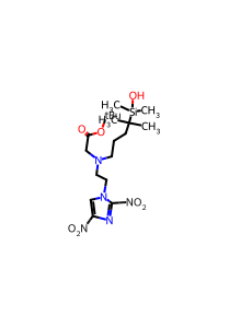 CC(C)(C)OC(=O)CN(CCCC(C)(C)[Si](C)(C)O)CCn1cc([N+](=O)[O-])nc1[N+](=O)[O-]